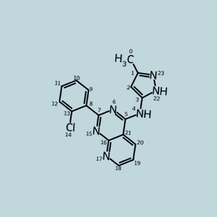 Cc1cc(Nc2nc(-c3ccccc3Cl)nc3ncccc23)[nH]n1